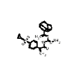 C=C(C(=O)N/C(=N/N)SC(=C)C12CC3CC(CC(C3)C1)C2)c1ccc(S(=O)(=O)C2CC2)cc1